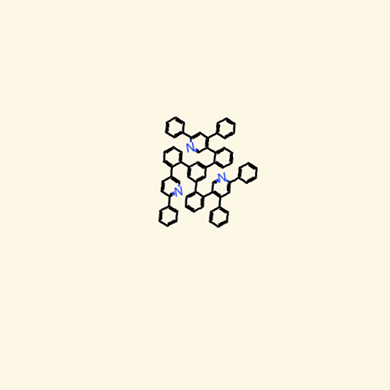 c1ccc(-c2ccc(-c3ccccc3-c3cc(-c4ccccc4-c4cnc(-c5ccccc5)cc4-c4ccccc4)cc(-c4ccccc4-c4cnc(-c5ccccc5)cc4-c4ccccc4)c3)cn2)cc1